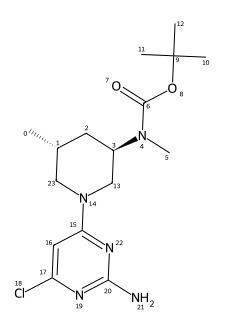 C[C@@H]1C[C@@H](N(C)C(=O)OC(C)(C)C)CN(c2cc(Cl)nc(N)n2)C1